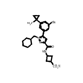 CC(C)(C)c1cc(-c2cc(C(=O)NC3CC(C(=O)O)C3)nn2CC2CCCCC2)cc(C2(C)CC2)c1